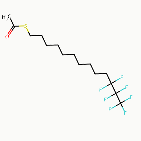 CC(=O)SCCCCCCCCCCC(F)(F)C(F)(F)C(F)(F)F